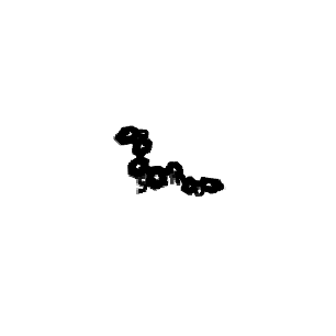 c1cc(-c2ccc3oc4ccccc4c3c2)nc(-c2ccc3sc4ccc(-c5ccc6oc7ccccc7c6c5)cc4c3c2)c1